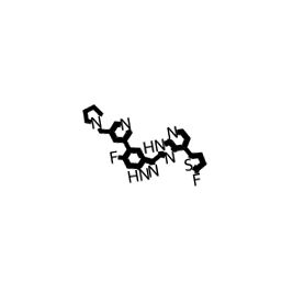 Fc1ccc(-c2ccnc3[nH]c(-c4n[nH]c5cc(F)c(-c6cncc(CN7CCCC7)c6)cc45)nc23)s1